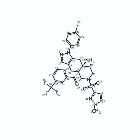 Cn1ncc(S(=O)(=O)N2CC[C@@]3(N)Cc4c(cnn4-c4ccc(F)cc4)C[C@]3(C(=O)c3cc(C(F)(F)F)ccn3)C2)n1